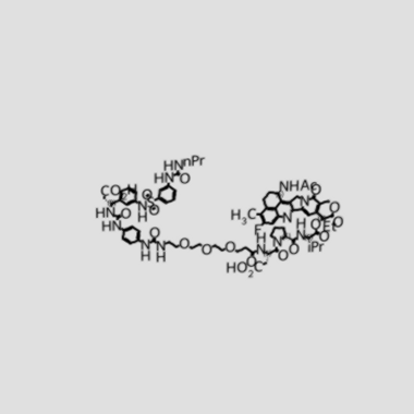 CCCNC(=O)Nc1cccc(S(=O)(=O)Nc2cccc([C@@H](CC(=O)O)NC(=O)Nc3ccc(NC(=O)NCCOCCOCCOCCC(=O)N[C@@H](CC(=O)O)C(=O)N4CCC[C@H]4C(=O)N[C@H](C(=O)O[C@]4(CC)C(=O)OCc5c4cc4n(c5=O)Cc5c-4nc4cc(F)c(C)c6c4c5[C@@H](NC(C)=O)CC6)C(C)C)cc3)c2)c1